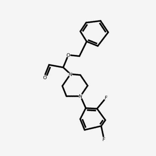 O=CC(OCc1ccccc1)N1CCN(c2ccc(F)cc2F)CC1